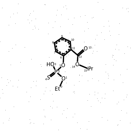 CCOP(O)(=S)Oc1ccccc1C(=O)OC(C)C